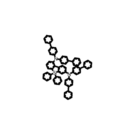 c1ccc(-c2ccc(N(c3ccc(-c4ccccc4)cc3)c3ccc4c(c3)[Si](c3ccccc3)(c3ccccc3)c3cccc(N(c5ccc(-c6ccccc6)cc5)c5ccc(-c6ccccc6)cc5)c3-4)cc2)cc1